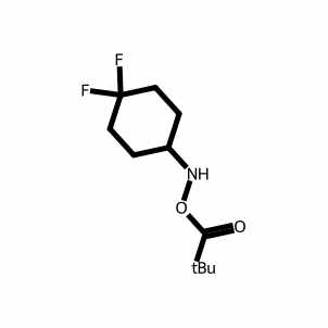 CC(C)(C)C(=O)ONC1CCC(F)(F)CC1